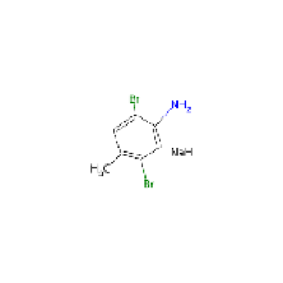 Cc1cc(Br)c(N)cc1Br.[NaH]